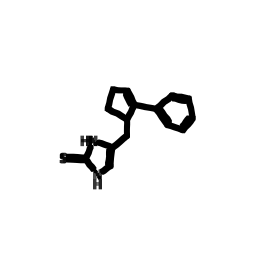 S=c1[nH]cc(CC2CCC=C2c2ccccc2)[nH]1